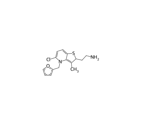 CC1=C2C(=CC=C(Cl)N2Cc2ccco2)SC1CCN